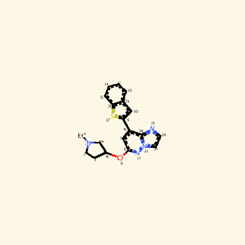 CCN1CCC(Oc2cc(-c3cc4ccccc4s3)c3nccn3n2)C1